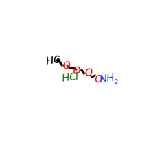 C#CCOCCOCCOCCON.Cl